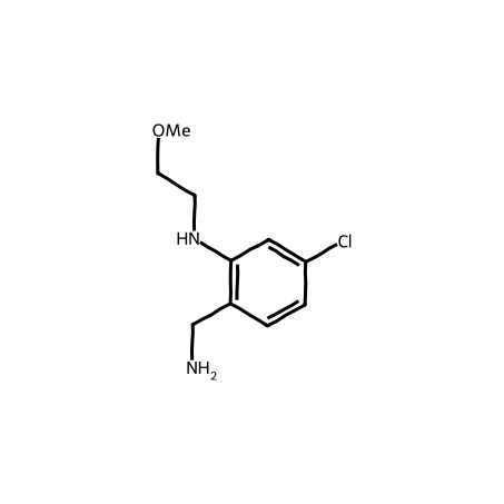 COCCNc1cc(Cl)ccc1CN